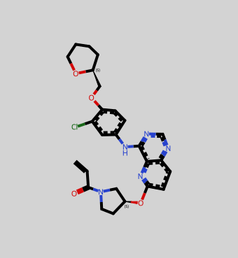 C=CC(=O)N1CC[C@H](Oc2ccc3ncnc(Nc4ccc(OC[C@@H]5CCCCO5)c(Cl)c4)c3n2)C1